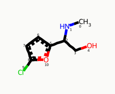 CNC(CO)c1ccc(Cl)o1